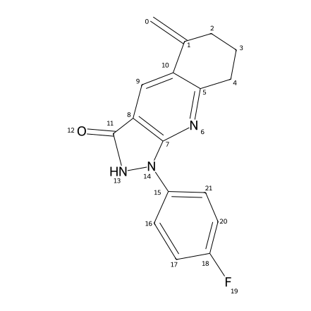 C=C1CCCc2nc3c(cc21)c(=O)[nH]n3-c1ccc(F)cc1